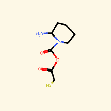 NC1CCCCN1C(=O)OC(=O)CS